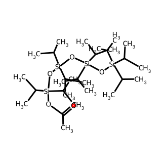 CC(=O)O[Si](O[Si](O[Si](O[Si](C(C)C)(C(C)C)C(C)C)(C(C)C)C(C)C)(C(C)C)C(C)C)(C(C)C)C(C)C